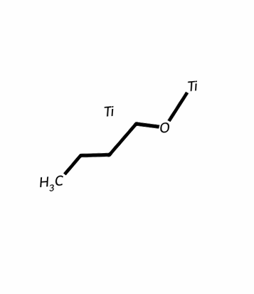 CCCC[O][Ti].[Ti]